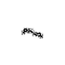 CC(C)(CCNC(=O)c1cn2cc(C(F)(F)F)ccc2n1)S(=O)(=O)c1cccc(C(F)(F)F)c1